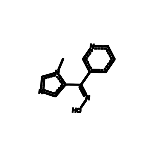 Cn1cncc1/C(=N\O)c1cccnc1